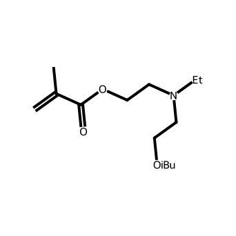 C=C(C)C(=O)OCCN(CC)CCOCC(C)C